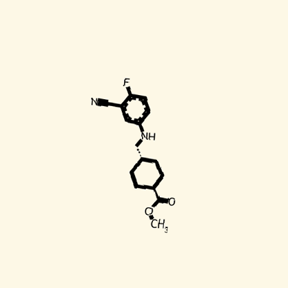 COC(=O)[C@H]1CC[C@H](CNc2ccc(F)c(C#N)c2)CC1